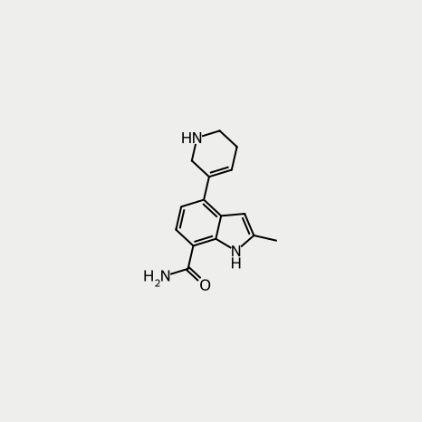 Cc1cc2c(C3=CCCNC3)ccc(C(N)=O)c2[nH]1